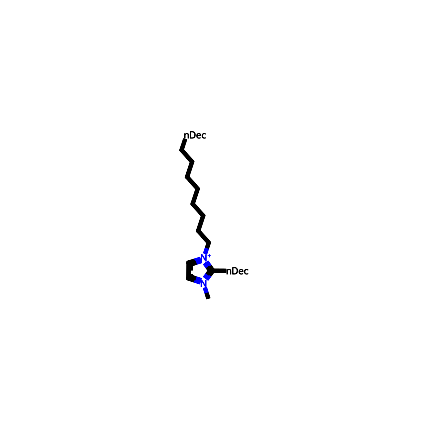 CCCCCCCCCCCCCCCCCC[n+]1ccn(C)c1CCCCCCCCCC